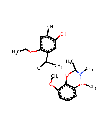 CCOc1cc(C)c(O)cc1C(C)C.CNC(C)Oc1c(OC)cccc1OC